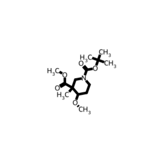 COC(=O)C1(C)CN(C(=O)OC(C)(C)C)CCC1OC